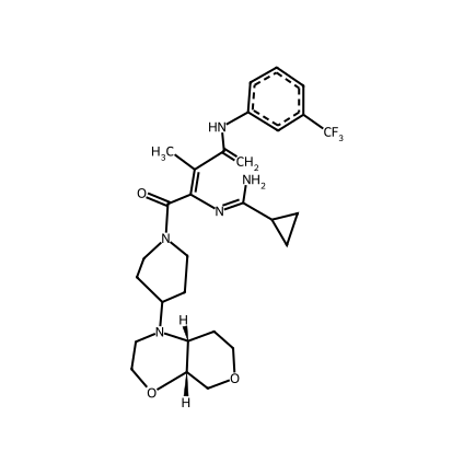 C=C(Nc1cccc(C(F)(F)F)c1)/C(C)=C(\N=C(/N)C1CC1)C(=O)N1CCC(N2CCO[C@H]3COCC[C@H]32)CC1